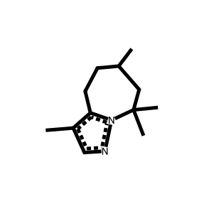 Cc1cnn2c1CCC(C)CC2(C)C